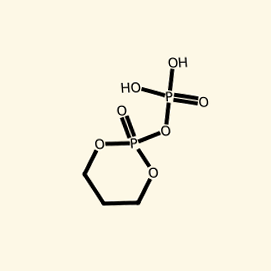 O=P(O)(O)OP1(=O)OCCCO1